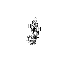 CCOC(=O)Nc1nc2cc(Nc3ccccc3C(F)(F)F)cnc2[nH]1